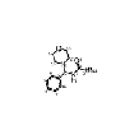 CC(C)(C)C(=O)NC(c1ccccc1)N1CCOCC1